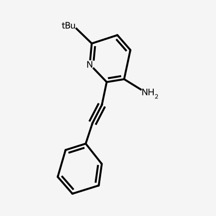 CC(C)(C)c1ccc(N)c(C#Cc2ccccc2)n1